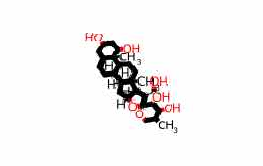 CC1CO[C@@]2(O[C@H]3C[C@H]4[C@@H]5CC=C6CC(O)CC(O)[C@]6(C)[C@H]5CC[C@]4(C)[C@H]3[C@@H]2CO)C(O)C1O